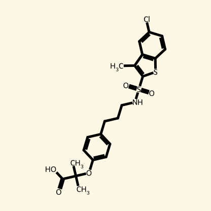 Cc1c(S(=O)(=O)NCCCc2ccc(OC(C)(C)C(=O)O)cc2)sc2ccc(Cl)cc12